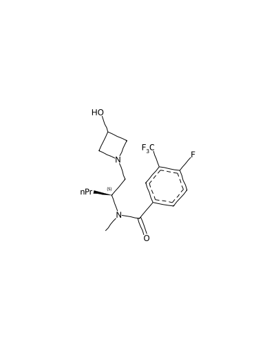 CCC[C@@H](CN1CC(O)C1)N(C)C(=O)c1ccc(F)c(C(F)(F)F)c1